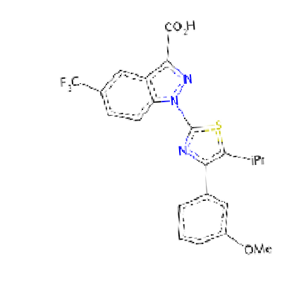 COc1cccc(-c2nc(-n3nc(C(=O)O)c4cc(C(F)(F)F)ccc43)sc2C(C)C)c1